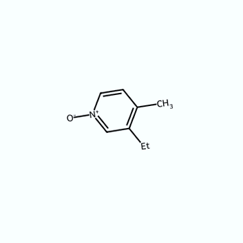 CCc1c[n+]([O-])ccc1C